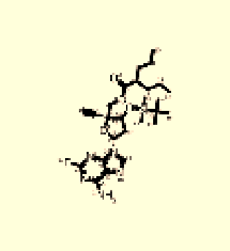 C#C[C@]1(COC(=O)C(CCC)CCC)O[C@@H](n2cnc3c(N)nc(F)nc32)CC1O[Si](C)(C)C(C)(C)C